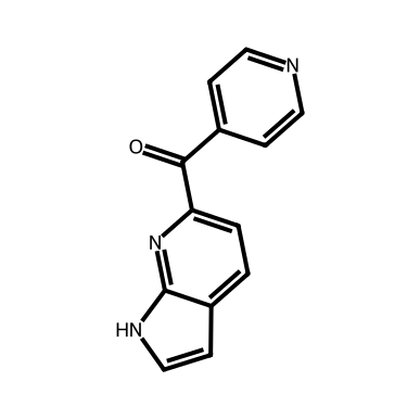 O=C(c1ccncc1)c1ccc2cc[nH]c2n1